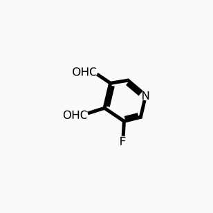 O=Cc1cncc(F)c1C=O